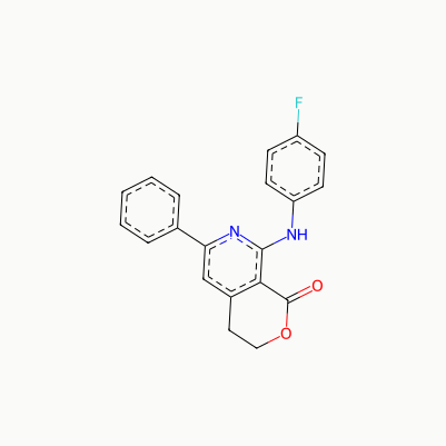 O=C1OCCc2cc(-c3ccccc3)nc(Nc3ccc(F)cc3)c21